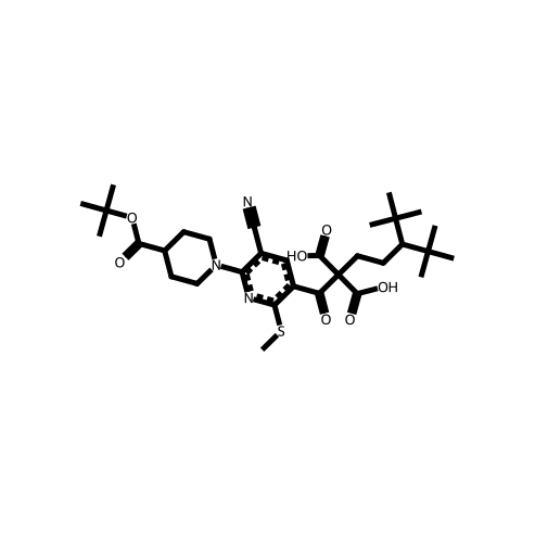 CSc1nc(N2CCC(C(=O)OC(C)(C)C)CC2)c(C#N)cc1C(=O)C(CCC(C(C)(C)C)C(C)(C)C)(C(=O)O)C(=O)O